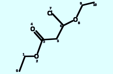 CCOC(=O)CC(Cl)OCC